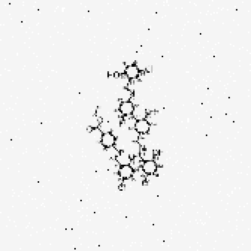 CCOC(=O)c1ccc(/N=C/c2cc(Cl)ccc2O/C(=N\Cc2ccc(OC)c(-c3cc(/N=C/c4cc(Cl)ccc4O)ccc3F)c2)c2cc(Cl)ccc2O)cc1